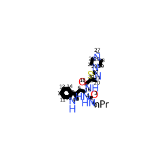 CCCNC(=O)NC(Cc1c[nH]c2ccccc12)NC(=O)c1cnc(N2CCN(C)CC2)s1